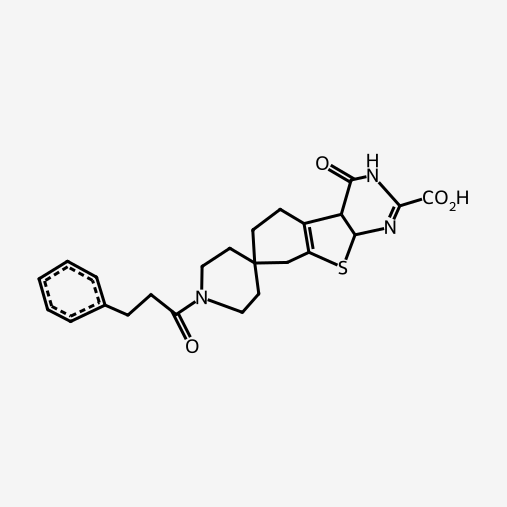 O=C(O)C1=NC2SC3=C(CCC4(CCN(C(=O)CCc5ccccc5)CC4)C3)C2C(=O)N1